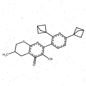 CC1CSc2nc(-c3ccc(C45CC(C4)C5)nc3C34CC(C3)C4)c(C#N)c(=O)n2C1